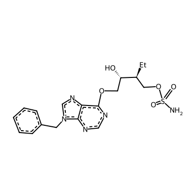 CC[C@@H](COS(N)(=O)=O)[C@@H](O)COc1ncnc2c1ncn2Cc1ccccc1